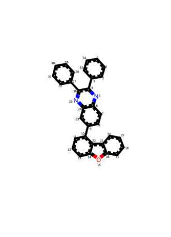 c1ccc(-c2nc3ccc(-c4cccc5oc6ccccc6c45)cc3nc2-c2ccccc2)cc1